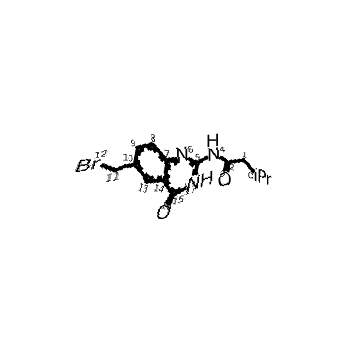 CC(C)CC(=O)Nc1nc2ccc(CBr)cc2c(=O)[nH]1